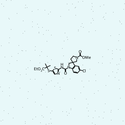 CCOC(=O)C(C)(C)Sc1cnc(NC(=O)N2CC3(CCN(C(=O)OC)C3)c3cc(Cl)ccc32)s1